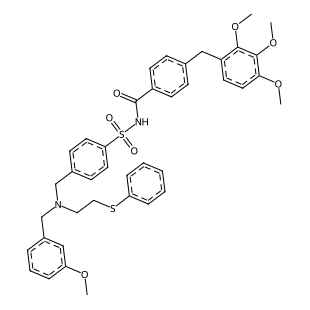 COc1cccc(CN(CCSc2ccccc2)Cc2ccc(S(=O)(=O)NC(=O)c3ccc(Cc4ccc(OC)c(OC)c4OC)cc3)cc2)c1